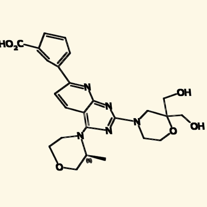 C[C@H]1COCCN1c1nc(N2CCOC(CO)(CO)C2)nc2nc(-c3cccc(C(=O)O)c3)ccc12